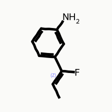 C/C=C(\F)c1cccc(N)c1